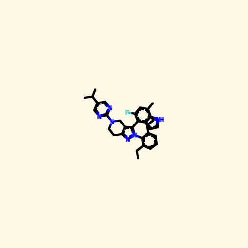 CCc1cccc(CC)c1-n1nc2c(c1-c1c(F)cc(C)c3[nH]ccc13)CN(c1ncc(C(C)C)cn1)CC2